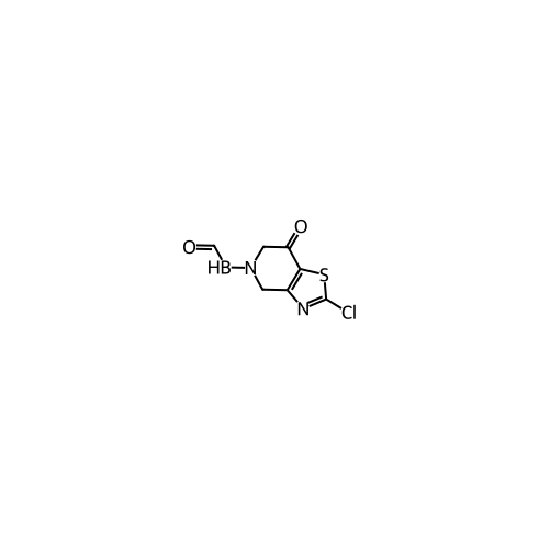 O=CBN1CC(=O)c2sc(Cl)nc2C1